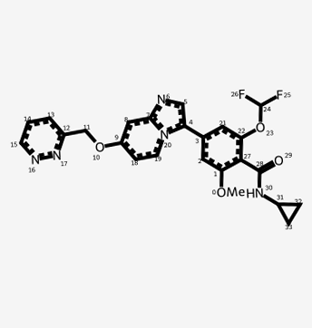 COc1cc(-c2cnc3cc(OCc4cccnn4)ccn23)cc(OC(F)F)c1C(=O)NC1CC1